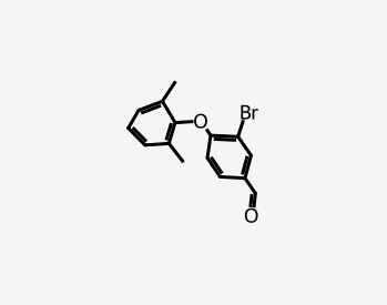 Cc1cccc(C)c1Oc1ccc(C=O)cc1Br